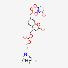 CCN(CC)CCCOC(=O)OCc1cc(=O)oc2cc(CC(=O)ON3C(=O)CCC3=O)ccc12